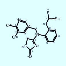 O=C1N=C(N(Cc2cnc(Cl)c(Cl)c2)c2ccccc2CC(F)F)CO1